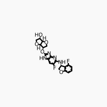 O[C@@H]1CO[C@H]2[C@@H]1OC[C@H]2Oc1nc2nc(N[C@H]3COc4cccc(F)c43)c(F)cc2[nH]1